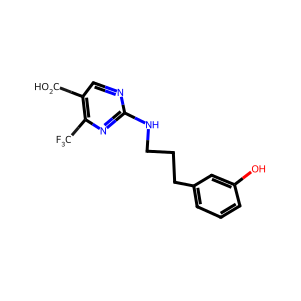 O=C(O)c1cnc(NCCCc2cccc(O)c2)nc1C(F)(F)F